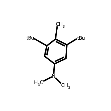 Cc1c(C(C)(C)C)cc(N(C)C)cc1C(C)(C)C